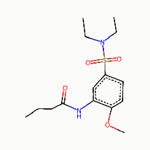 CCCC(=O)Nc1cc(S(=O)(=O)N(CC)CC)ccc1OC